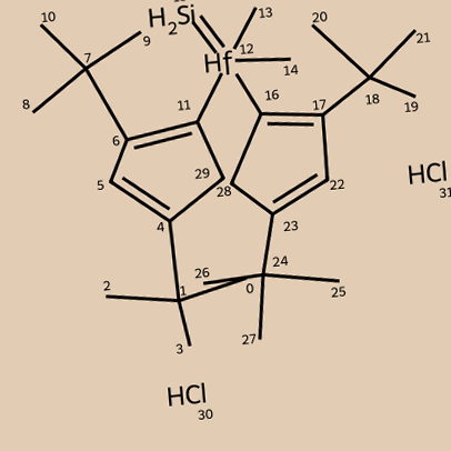 CC(C)(C)C1=CC(C(C)(C)C)=[C]([Hf]([CH3])([CH3])(=[SiH2])[C]2=C(C(C)(C)C)C=C(C(C)(C)C)C2)C1.Cl.Cl